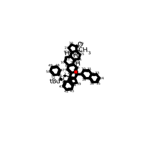 CC(C)(C)[Si](C[C@]1(c2ccc3c(c2)CC[C@@H]2[C@@H]3CC[C@]3(C)C(=O)CC[C@@H]23)CC2CC1(C(=O)c1ccc3ccccc3c1)C2)(c1ccccc1)c1ccccc1